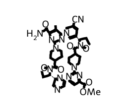 COC(=O)c1ccnc(N2CCC(C(=O)N3OCC[C@H]3c3cncc(C#N)c3)CC2)n1.Cc1cnc(N2CCC(C(=O)N3OCC[C@H]3c3cnccn3)CC2)nc1C(N)=O